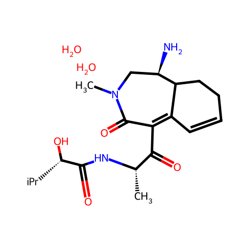 CC(C)[C@H](O)C(=O)N[C@@H](C)C(=O)C1=C2C=CCCC2[C@H](N)CN(C)C1=O.O.O